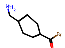 NCC1CCC(C(=O)Br)CC1